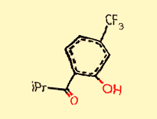 CC(C)C(=O)c1ccc(C(F)(F)F)cc1O